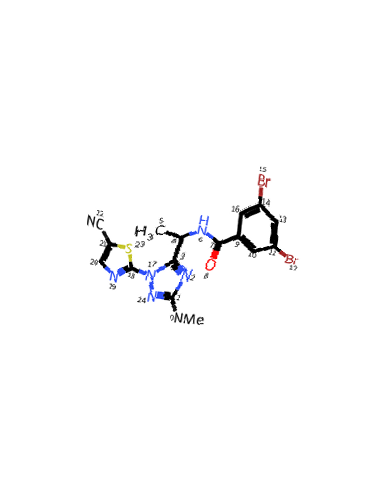 CNc1nc(C(C)NC(=O)c2cc(Br)cc(Br)c2)n(-c2ncc(C#N)s2)n1